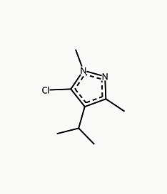 Cc1nn(C)c(Cl)c1C(C)C